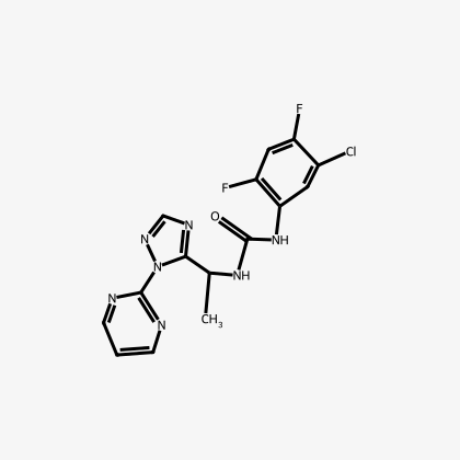 CC(NC(=O)Nc1cc(Cl)c(F)cc1F)c1ncnn1-c1ncccn1